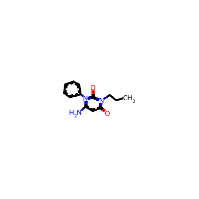 CCCn1c(=O)cc(N)n(-c2ccccc2)c1=O